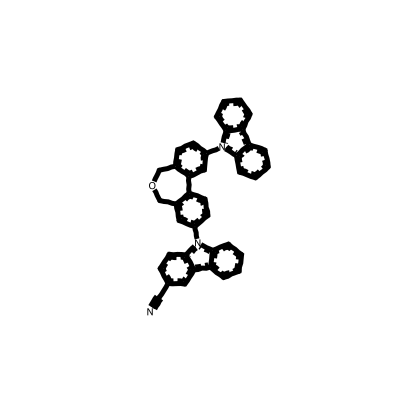 N#Cc1ccc2c(c1)c1ccccc1n2-c1ccc2c(c1)COCc1ccc(-n3c4ccccc4c4ccccc43)cc1-2